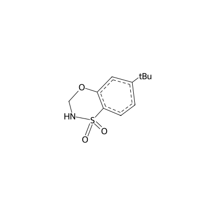 CC(C)(C)c1ccc2c(c1)OCNS2(=O)=O